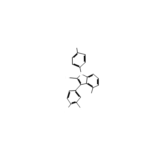 CC(C)(C)c1c(-c2ccc(C(=O)O)c(F)c2)c2c(O)cccc2n1-c1ccc(F)cc1